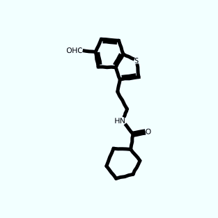 O=Cc1ccc2scc(CCNC(=O)C3CCCCC3)c2c1